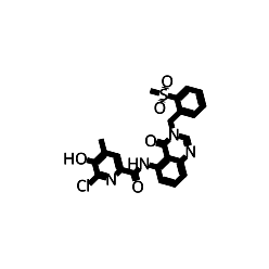 Cc1cc(C(=O)Nc2cccc3ncn(Cc4ccccc4S(C)(=O)=O)c(=O)c23)nc(Cl)c1O